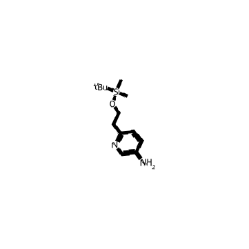 CC(C)(C)[Si](C)(C)OCCc1ccc(N)cn1